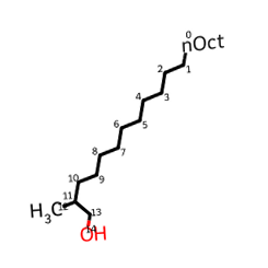 CCCCCCCCCCCCCCCCCCC(C)CO